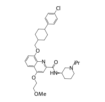 COCCOc1cc(C(=O)N[C@@H]2CCCN(C(C)C)C2)nc2c(OCC3CCC(c4ccc(Cl)cc4)CC3)cccc12